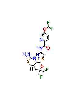 NC1=N[C@@]2(c3nc(NC(=O)c4ccc(OC(F)F)cn4)cs3)COC(CF)(CF)C[C@H]2CS1